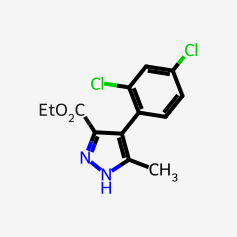 CCOC(=O)c1n[nH]c(C)c1-c1ccc(Cl)cc1Cl